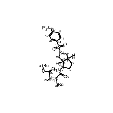 CC[C@H](C)[C@@H](C(=O)N[C@@H]1CC[C@H]2CN(S(=O)(=O)c3ccc(C(F)(F)F)cc3)C[C@H]21)N(C)C(=O)OC(C)(C)C